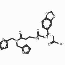 O=C(O)C[C@H](NC(=O)NCCC(=O)N(Cc1cccs1)Cc1cccs1)c1ccc2c(c1)OCO2